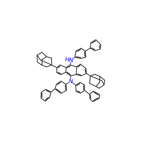 c1ccc(-c2ccc(Nc3c4cc(C56CC7CC(CC(C7)C5)C6)ccc4c(N(c4ccc(-c5ccccc5)cc4)c4ccc(-c5ccccc5)cc4)c4cc(C56CC7CC(CC(C7)C5)C6)ccc34)cc2)cc1